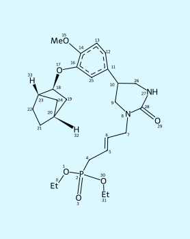 CCOP(=O)(C/C=C/CN1CC(c2ccc(OC)c(O[C@H]3C[C@@H]4CC[C@H]3C4)c2)CNC1=O)OCC